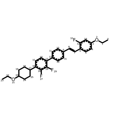 CCOc1ccc(/C=C/c2ccc(-c3ccc(C4CCC(OCC)CC4)c(F)c3F)cc2)c(F)c1